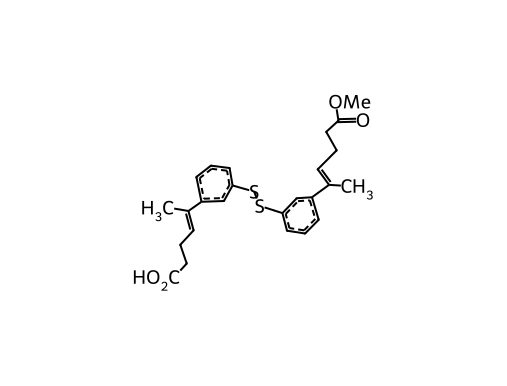 COC(=O)CCC=C(C)c1cccc(SSc2cccc(C(C)=CCCC(=O)O)c2)c1